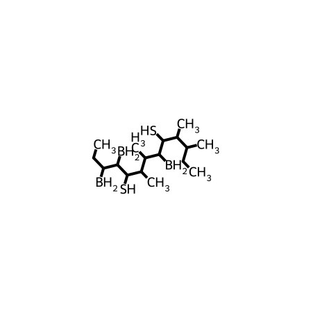 BC(CC)C(B)C(S)C(C)C(C)C(B)C(S)C(C)C(C)CC